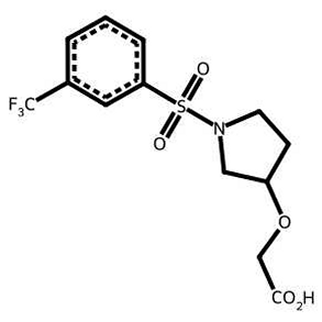 O=C(O)COC1CCN(S(=O)(=O)c2cccc(C(F)(F)F)c2)C1